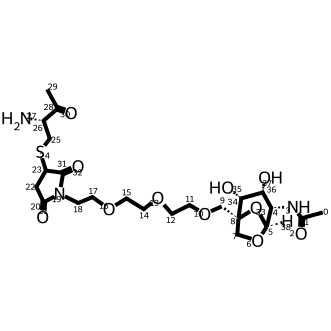 CC(=O)N[C@@H]1[C@H]2OC[C@](COCCOCCOCCN3C(=O)CC(SC[C@H](N)C(C)=O)C3=O)(O2)[C@H](O)[C@@H]1O